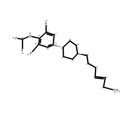 CC/C=C/CCC[C@H]1CC[C@H](c2cc(F)c(OC(F)F)c(F)c2)CC1